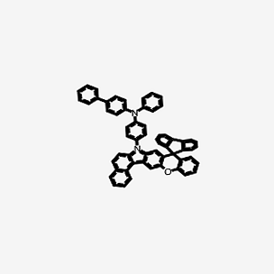 c1ccc(-c2ccc(N(c3ccccc3)c3ccc(-n4c5cc6c(cc5c5c7ccccc7ccc54)Oc4ccccc4C64c5ccccc5-c5ccccc54)cc3)cc2)cc1